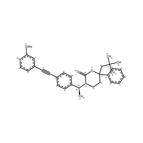 COc1cc(C#Cc2ccc([C@H](C)N3CCC(CC(C)(C)O)(c4ccccc4)OC3=O)cc2)ccn1